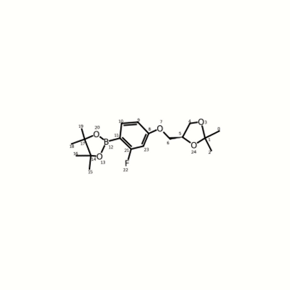 CC1(C)OC[C@H](COc2ccc(B3OC(C)(C)C(C)(C)O3)c(F)c2)O1